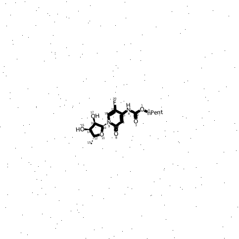 CCCCCOC(=O)Nc1cc(=O)n([C@@H]2O[C@H](C)[C@@H](O)[C@H]2O)cc1F